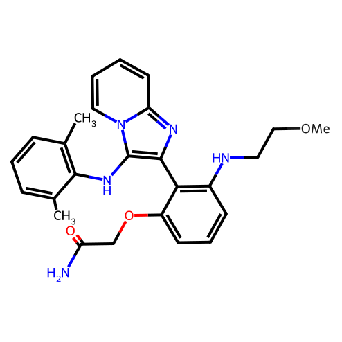 COCCNc1cccc(OCC(N)=O)c1-c1nc2ccccn2c1Nc1c(C)cccc1C